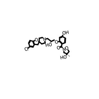 C[C@@]1(O)CON(C(=O)c2ccc(O)cc2OC[C@H](O)CN2CCC3(CC2)Cc2cc(Cl)ccc2O3)C1